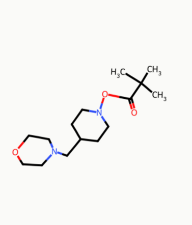 CC(C)(C)C(=O)ON1CCC(CN2CCOCC2)CC1